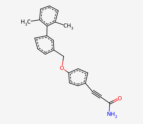 Cc1cccc(C)c1-c1cccc(COc2ccc(C#CC(N)=O)cc2)c1